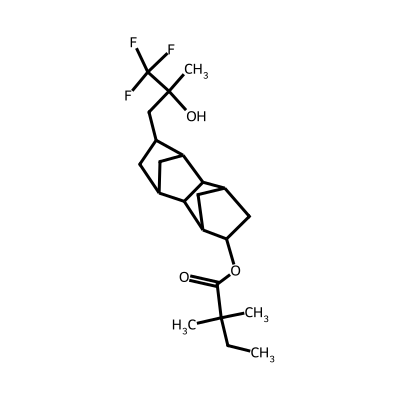 CCC(C)(C)C(=O)OC1CC2CC1C1C3CC(CC(C)(O)C(F)(F)F)C(C3)C21